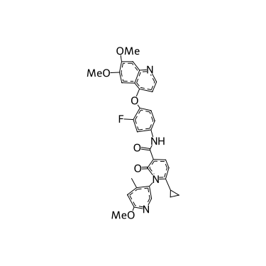 COc1cc(C)c(-n2c(C3CC3)ccc(C(=O)Nc3ccc(Oc4ccnc5cc(OC)c(OC)cc45)c(F)c3)c2=O)cn1